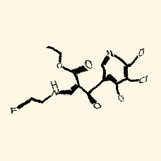 CCOC(=O)/C(=C\NCCF)C(=O)c1cnc(Cl)c(Cl)c1Cl